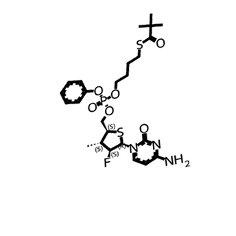 C[C@H]1[C@H](F)[C@H](n2ccc(N)nc2=O)S[C@@H]1COP(=O)(OCCCCSC(=O)C(C)(C)C)Oc1ccccc1